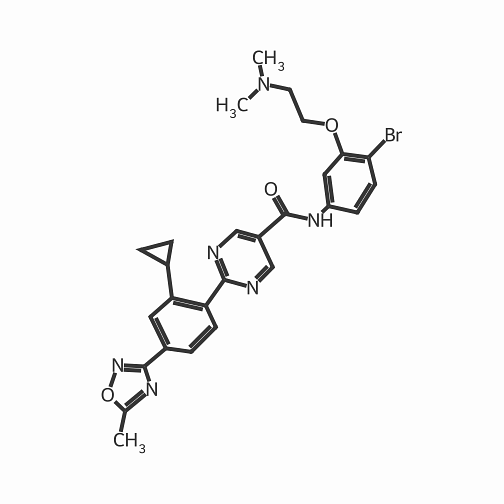 Cc1nc(-c2ccc(-c3ncc(C(=O)Nc4ccc(Br)c(OCCN(C)C)c4)cn3)c(C3CC3)c2)no1